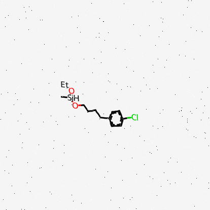 CCO[SiH](C)OCCCCc1ccc(Cl)cc1